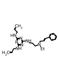 C=CCNc1nc(NCC=C)nc(NCCCN(CC)CC=Cc2ccccc2)n1